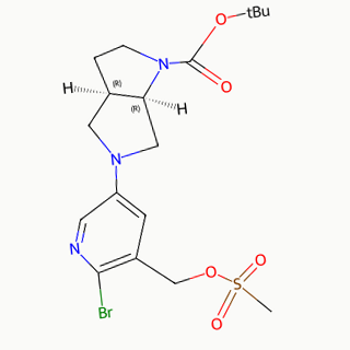 CC(C)(C)OC(=O)N1CC[C@@H]2CN(c3cnc(Br)c(COS(C)(=O)=O)c3)C[C@@H]21